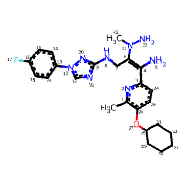 Cc1nc(/C(N)=C(\CNc2ncn(-c3ccc(F)cc3)n2)N(C)N)ccc1OC1CCCCC1